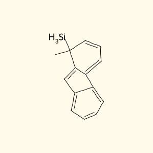 CC1([SiH3])C=CC=C2C1=Cc1ccccc12